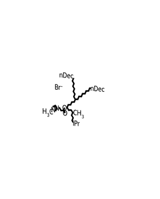 CCCCCCCCCCCCCCCCCCC(CCCCCCCCCCCCCCCCCC)CCCCC(CCC(C)CCCC(C)C)OC(=O)CCn1cc[n+](C)c1.[Br-]